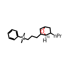 CCCC1CC2CC(CCC[Si](C)(C)c3ccccc3)[C@H]1O2